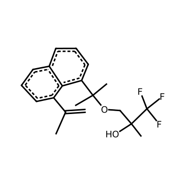 C=C(C)c1cccc2cccc(C(C)(C)OCC(C)(O)C(F)(F)F)c12